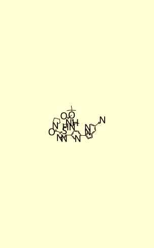 CC(C)Nc1cc(-c2ccc3cc(C#N)cnn23)ncc1-c1nnc(C(=O)N2CCC[C@@H]2CNC(=O)OC(C)(C)C)s1